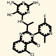 Cc1ncc(F)cc1-n1c(C(C)Nc2nc(N)nc(N)c2C#N)nc2cccc(Cl)c2c1=O